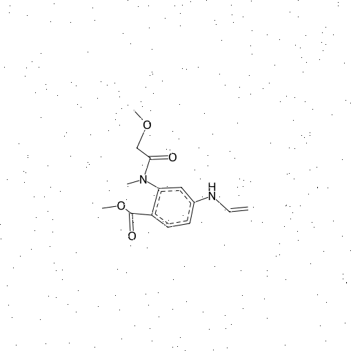 C=CNc1ccc(C(=O)OC)c(N(C)C(=O)COC)c1